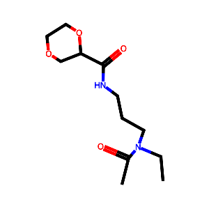 CCN(CCCNC(=O)C1COCCO1)C(C)=O